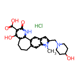 Cl.Cn1c(CN2CCC(O)CC2)cc2cc3c(cc21)CCCc1c-3[nH]c(=O)c(C(=O)O)c1O